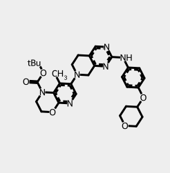 Cc1c(N2CCc3cnc(Nc4ccc(OC5CCOCC5)cc4)nc3C2)cnc2c1N(C(=O)OC(C)(C)C)CCO2